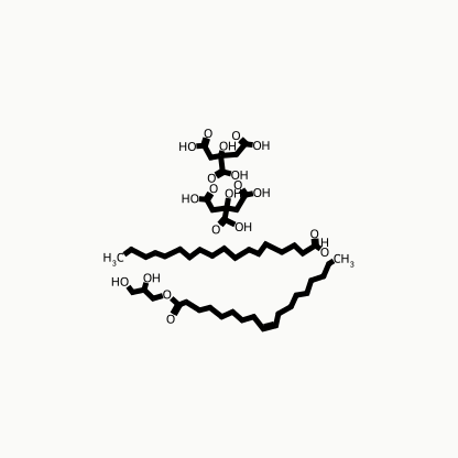 CCCCCCCC/C=C\CCCCCCCC(=O)OCC(O)CO.CCCCCCCCCCCCCCCCCC(=O)O.O=C(O)CC(O)(CC(=O)O)C(=O)O.O=C(O)CC(O)(CC(=O)O)C(=O)O